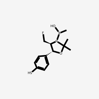 CB(O)N1[C@H](CF)[C@@H](c2ccc(S)cc2)OC1(C)C